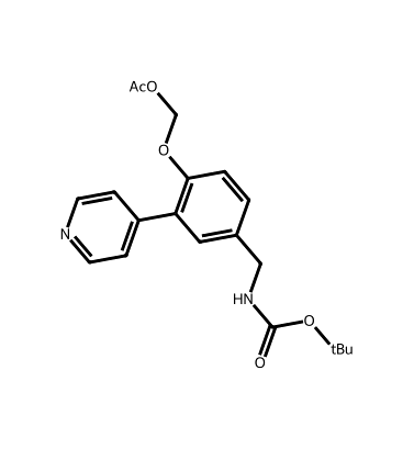 CC(=O)OCOc1ccc(CNC(=O)OC(C)(C)C)cc1-c1ccncc1